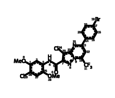 COc1cc(NC(=O)c2nn3c(C(F)(F)F)cc(-c4ccc(Br)cc4)nc3c2Cl)c(OC)cc1Cl